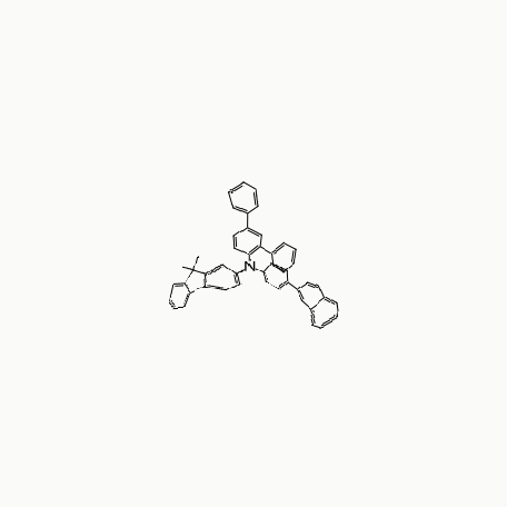 CC1(C)c2ccccc2-c2ccc(N(c3ccc(-c4ccc5ccccc5c4)cc3)c3ccc(-c4ccccc4)cc3-c3ccccc3)cc21